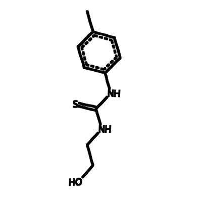 Cc1ccc(NC(=S)NCCO)cc1